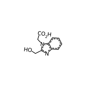 O=C(O)Cn1c(CO)nc2ccccc21